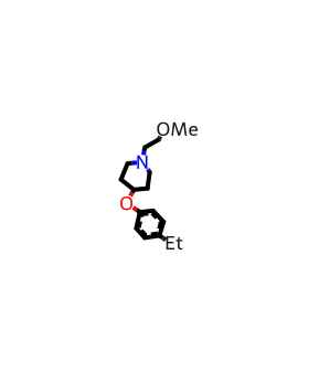 CCc1ccc(OC2CCN(CCOC)CC2)cc1